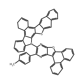 Cc1ccc(-c2nc3c(nc2-n2c4ccccc4c4c5c(c6c7cc8ccccc8cc7sc6c42)C=CCC5)oc2c4ccccc4c4ccccc4c32)cc1